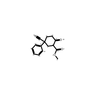 COC(=O)C1CC(C#N)(c2ccccc2)CCC1=O